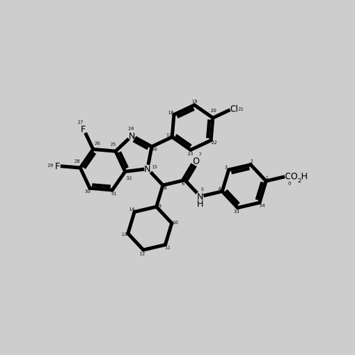 O=C(O)c1ccc(NC(=O)C(C2CCCCC2)n2c(-c3ccc(Cl)cc3)nc3c(F)c(F)ccc32)cc1